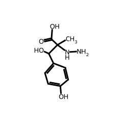 CC(NN)(C(=O)O)C(O)c1ccc(O)cc1